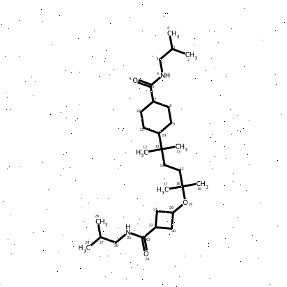 CC(C)CNC(=O)C1CCC(C(C)(C)CCC(C)(C)OC2CC(C(=O)NCC(C)C)C2)CC1